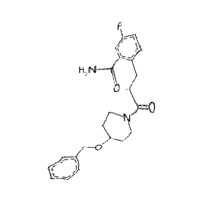 NC(=O)c1cc(F)ccc1C[CH]C(=O)N1CCC(OCc2ccccc2)CC1